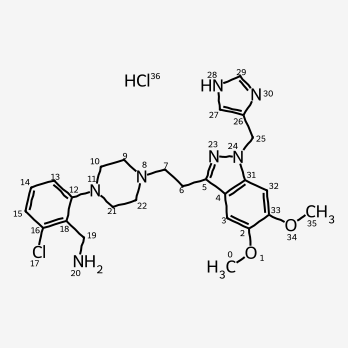 COc1cc2c(CCN3CCN(c4cccc(Cl)c4CN)CC3)nn(Cc3c[nH]cn3)c2cc1OC.Cl